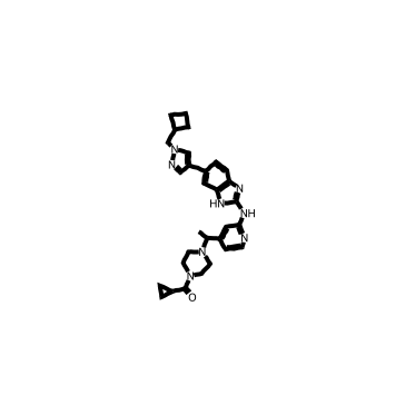 CC(c1ccnc(Nc2nc3ccc(-c4cnn(CC5CCC5)c4)cc3[nH]2)c1)N1CCN(C(=O)C2CC2)CC1